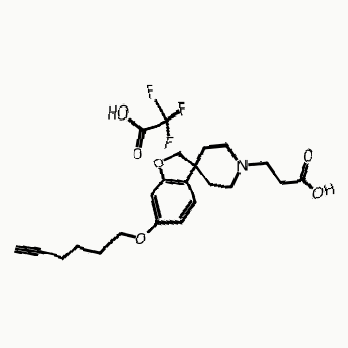 C#CCCCCOc1ccc2c(c1)OCC21CCN(CCC(=O)O)CC1.O=C(O)C(F)(F)F